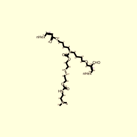 CCCCCC/C=C\C(=O)OCCCCN(CCCCOC/C(C=O)=C\CCCCCC)C(=O)OCCSSCCOC(=O)NCCN(C)C